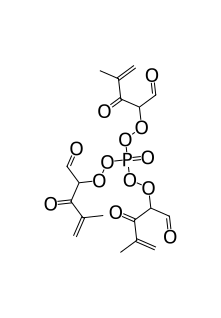 C=C(C)C(=O)C(C=O)OOP(=O)(OOC(C=O)C(=O)C(=C)C)OOC(C=O)C(=O)C(=C)C